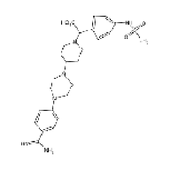 CS(=O)(=O)Nc1ccc(C(C(=O)O)N2CCC(N3CCN(c4ccc(C(=N)N)cc4)CC3)CC2)cc1